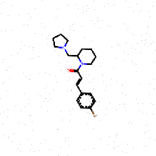 O=C(C=Cc1ccc(Br)cc1)N1CCCCC1CN1CCCC1